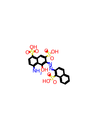 Nc1ccc(S(=O)(=O)O)c2cc(S(=O)(=O)O)c(N=Nc3ccc4ccccc4c3S(=O)(=O)O)c(O)c12